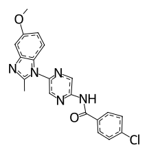 COc1ccc2c(c1)nc(C)n2-c1cnc(NC(=O)c2ccc(Cl)cc2)cn1